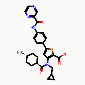 C[C@H]1CC[C@H](C(=O)N(CC2CC2)c2cc(-c3ccc(NC(=O)c4cnccn4)cc3)sc2C(=O)O)CC1